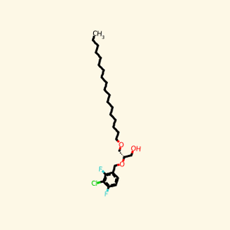 CCCCCCCCCCCCCCCCCCOC[C@H](CO)OCc1ccc(F)c(Cl)c1F